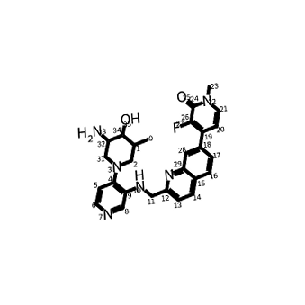 CC1CN(c2ccncc2NCc2ccc3ccc(-c4ccn(C)c(=O)c4F)cc3n2)CC(N)C1O